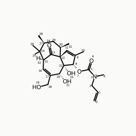 C=CCN(C)C(=O)O[C@H]1C(C)=C[C@]23C(=O)[C@@H](C=C(CO)[C@@H](O)[C@]12O)C(C)(C)[C@@H](C)C[C@H]3C